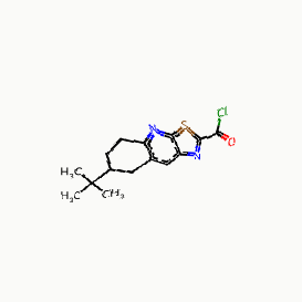 CC(C)(C)C1CCc2nc3sc(C(=O)Cl)nc3cc2C1